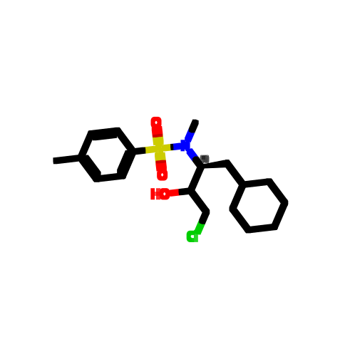 Cc1ccc(S(=O)(=O)N(C)[C@@H](CC2CCCCC2)C(O)CCl)cc1